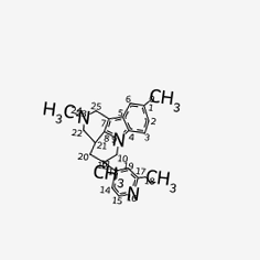 Cc1ccc2c(c1)c1c3n2CC(C)(c2ccnc(C)c2)CC3CN(C)C1